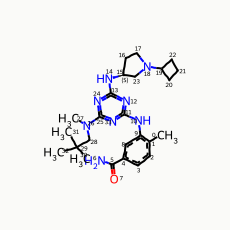 Cc1ccc(C(N)=O)cc1Nc1nc(N[C@H]2CCN(C3CCC3)C2)nc(N(C)CC(C)(C)C)n1